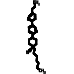 CCCCCCCC1(C#N)CCC(c2ccc(-c3ccc(CCC)cc3)cc2)CC1